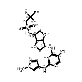 Cn1cc(Nc2ncc(Cl)c(N[C@@H]3COC4C3OC[C@@H]4NS(=O)(=O)CC(F)(F)F)n2)cn1